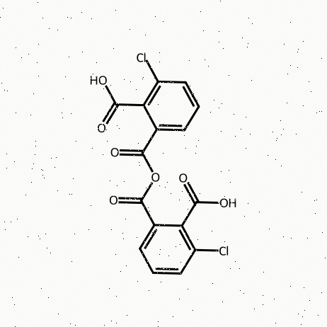 O=C(OC(=O)c1cccc(Cl)c1C(=O)O)c1cccc(Cl)c1C(=O)O